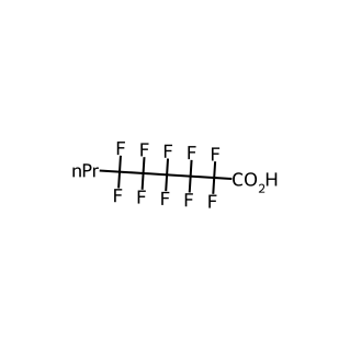 CCCC(F)(F)C(F)(F)C(F)(F)C(F)(F)C(F)(F)C(=O)O